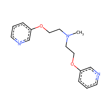 CN(CCOc1cccnc1)CCOc1cccnc1